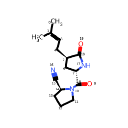 CC(C)=CC[C@@H]1C[C@@H](C(=O)N2CCC[C@H]2C#N)NC1=O